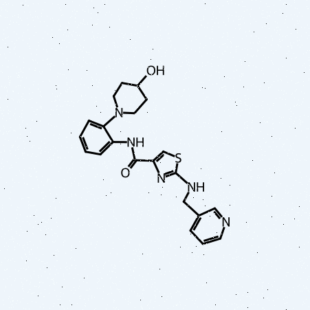 O=C(Nc1ccccc1N1CCC(O)CC1)c1csc(NCc2cccnc2)n1